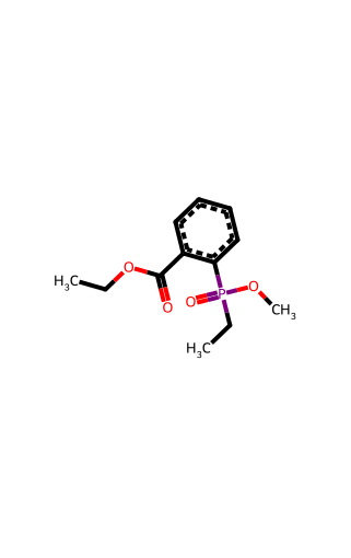 CCOC(=O)c1ccccc1P(=O)(CC)OC